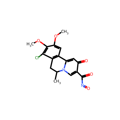 COc1cc2c(c(Cl)c1OC)CC(C)n1cc(C(=O)N=O)c(=O)cc1-2